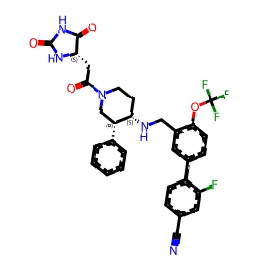 N#Cc1ccc(-c2ccc(OC(F)(F)F)c(CN[C@H]3CCN(C(=O)C[C@@H]4NC(=O)NC4=O)C[C@H]3c3ccccc3)c2)c(F)c1